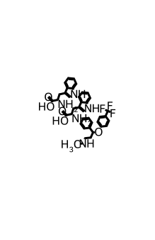 CNCCC(Oc1ccc(C(F)(F)F)cc1)c1ccccc1.NC(Cc1c[nH]c2ccccc12)C(=O)O.NC(Cc1c[nH]c2ccccc12)C(=O)O